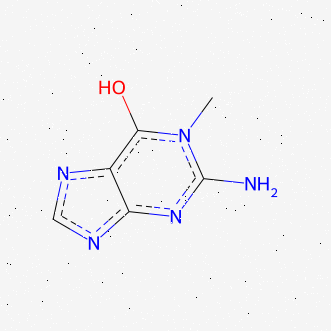 Cn1c(N)nc2ncnc-2c1O